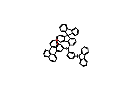 c1ccc(-c2cccc3cccc(-c4cccc(N(c5cccc(-n6c7ccccc7c7ccccc76)c5)c5cccc6c5-c5ccccc5C65c6ccccc6-c6ccccc65)c4)c23)cc1